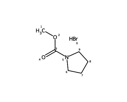 Br.COC(=O)N1CCCC1